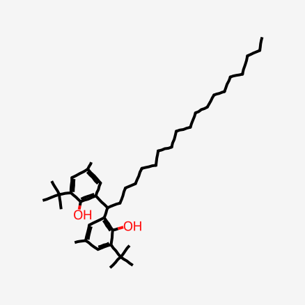 CCCCCCCCCCCCCCCCCCC(c1cc(C)cc(C(C)(C)C)c1O)c1cc(C)cc(C(C)(C)C)c1O